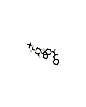 CC(CC1CCCCC1)C(=O)N1CCC(O)(CN2CCN(C(=O)OC(C)(C)C)CC2=O)C2(CCCC2)C1